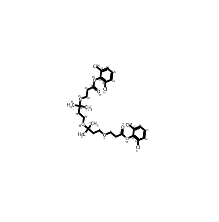 CC(C)(CCOCCC(=O)Oc1c(Cl)cccc1Cl)OCCC(C)(C)OCCC(=O)Oc1c(Cl)cccc1Cl